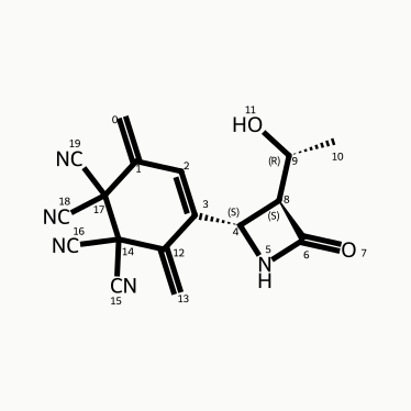 C=C1C=C([C@H]2NC(=O)[C@@H]2[C@@H](C)O)C(=C)C(C#N)(C#N)C1(C#N)C#N